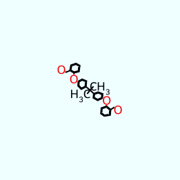 CC(C)(c1ccc(Oc2ccccc2C=O)cc1)c1ccc(Oc2ccccc2C=O)cc1